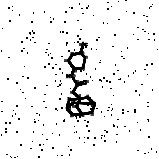 CC(=O)N1CCC(NC(=O)CC23CC4CC(CC(C4)C2)C3)CC1